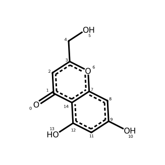 O=c1cc(CO)oc2cc(O)cc(O)c12